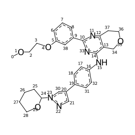 COCCOc1cccc(-c2nc3c(c(Nc4ccc(-c5cnn(C6CCCCO6)c5)cc4)n2)COCC3)c1